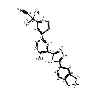 Cc1ncc(-c2ccnc(C(C)(C)C#N)c2)nc1-c1nnc(-c2ccc3c(c2)CNC3)o1